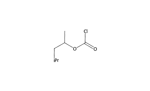 CC(C)CC(C)OC(=O)Cl